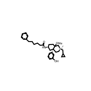 COC12CC[C@H](NC(=O)CCCCCc3ccccc3)C[C@]1(c1cccc(O)c1)CC[N@+](C)(CC1CC1)C2